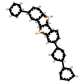 c1ccc(-c2ccc(-c3ccc4c(c3)sc3c5cc(-c6ccccc6)ccc5sc43)cc2)cc1